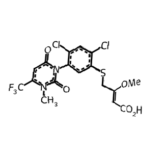 CO/C(=C\C(=O)O)CSc1cc(-n2c(=O)cc(C(F)(F)F)n(C)c2=O)c(Cl)cc1Cl